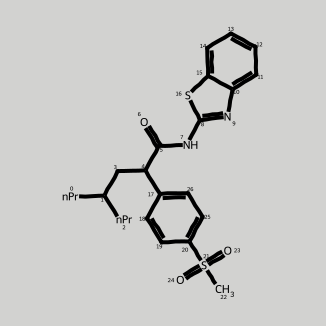 CCCC(CCC)CC(C(=O)Nc1nc2ccccc2s1)c1ccc(S(C)(=O)=O)cc1